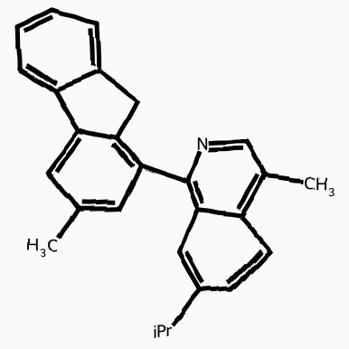 Cc1cc2c(c(-c3ncc(C)c4ccc(C(C)C)cc34)c1)Cc1ccccc1-2